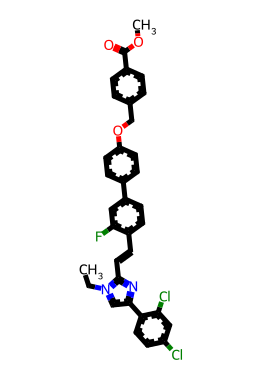 CCn1cc(-c2ccc(Cl)cc2Cl)nc1C=Cc1ccc(-c2ccc(OCc3ccc(C(=O)OC)cc3)cc2)cc1F